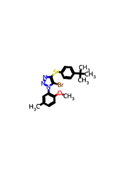 COc1ccc(C)cc1-n1nnc(Sc2ccc(C(C)(C)C)cc2)c1Br